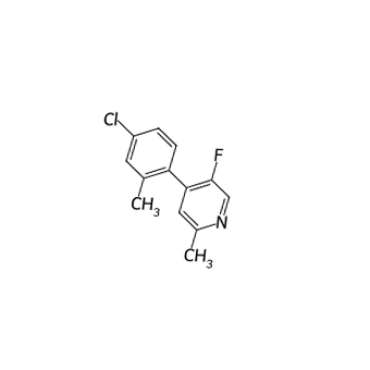 Cc1cc(-c2ccc(Cl)cc2C)c(F)cn1